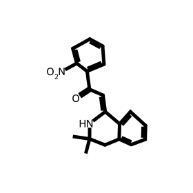 CC1(C)Cc2ccccc2C(=CC(=O)c2ccccc2[N+](=O)[O-])N1